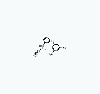 CC(C)(C)C1=CCC=C1.CCC.Cc1cc(O)cc(C(C)(C)C)c1.Cl.Cl